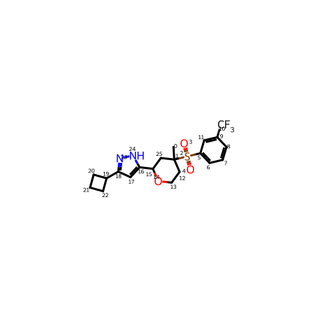 CC1(S(=O)(=O)c2cccc(C(F)(F)F)c2)CCOC(c2cc(C3CCC3)n[nH]2)C1